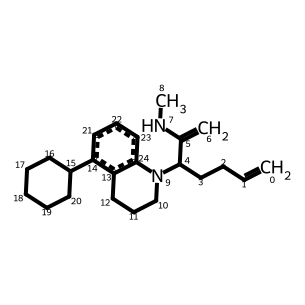 C=CCCC(C(=C)NC)N1CCCc2c(C3CCCCC3)cccc21